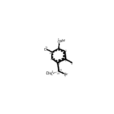 COc1cc(C)c([C@H](Br)C=O)cc1Cl